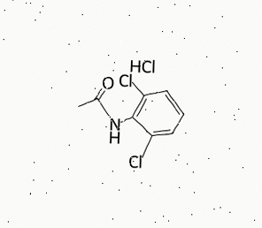 CC(=O)Nc1c(Cl)cccc1Cl.Cl